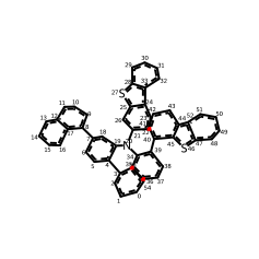 c1ccc(-c2ccc(-c3cccc4ccccc34)cc2N(c2ccc3c(c2)sc2ccccc23)c2ccccc2-c2cccc3c2sc2ccccc23)cc1